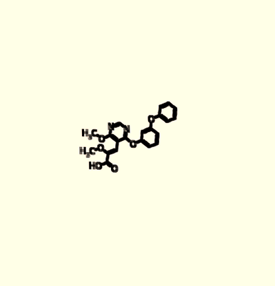 COC(=Cc1c(OC)ncnc1Oc1cccc(Oc2ccccc2)c1)C(=O)O